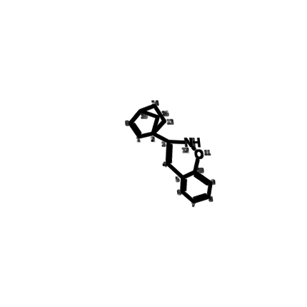 C1=CC2(C3=Cc4ccccc4ON3)CCC1C2